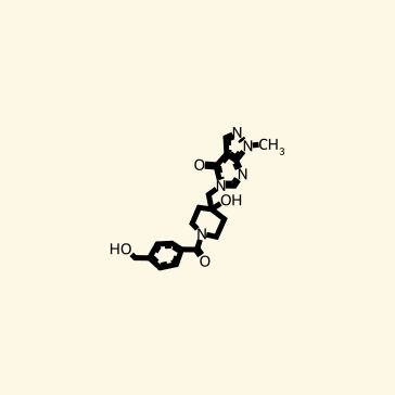 Cn1ncc2c(=O)n(CC3(O)CCN(C(=O)c4ccc(CO)cc4)CC3)cnc21